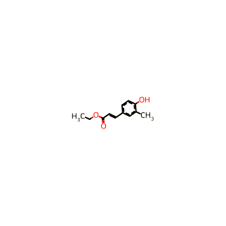 CCOC(=O)/C=C/c1ccc(O)c(C)c1